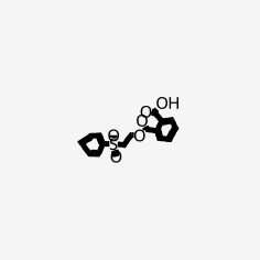 O=C(O)c1ccccc1C(=O)OCCS(=O)(=O)c1ccccc1